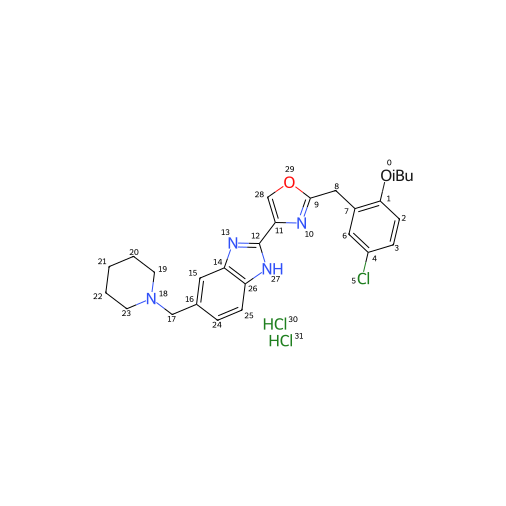 CC(C)COc1ccc(Cl)cc1Cc1nc(-c2nc3cc(CN4CCCCC4)ccc3[nH]2)co1.Cl.Cl